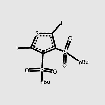 CCCCS(=O)(=O)c1c(I)sc(I)c1S(=O)(=O)CCCC